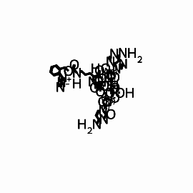 [N-]=[N+]=Nc1ccccc1COC(=O)NCCCC(N)C(=O)O[C@H]1[C@@H](O)[C@H](n2cnc3c(N)ncnc32)O[C@@H]1COP(=O)(O)O[C@H]1C[C@H](n2ccc(N)nc2=O)O[C@H]1COP(=O)(O)O